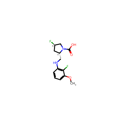 COc1cccc(NC[C@@H]2C[C@@H](F)CN2C(=O)O)c1F